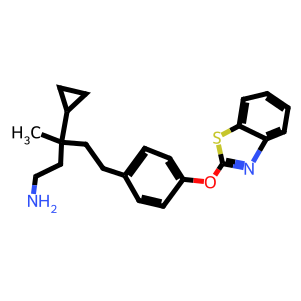 CC(CCN)(CCc1ccc(Oc2nc3ccccc3s2)cc1)C1CC1